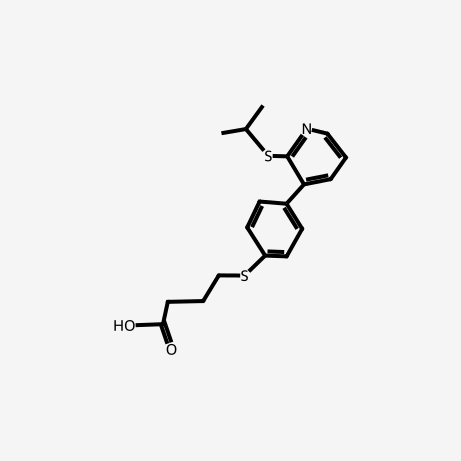 CC(C)Sc1ncccc1-c1ccc(SCCCC(=O)O)cc1